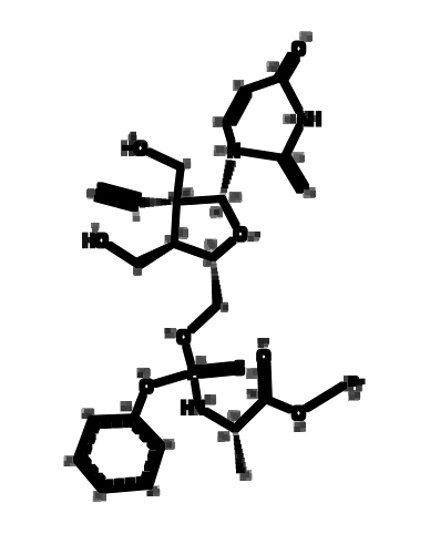 C#C[C@@]1(CO)[C@H](CO)[C@@H](COP(=S)(N[C@@H](C)C(=O)OC(C)C)Oc2ccccc2)O[C@H]1N1C=CC(=O)NC1=C